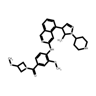 COc1cc(C(=O)N2CC(OC)C2)ccc1Nc1cc2c(C3C=NN(C4CCNCC4)C3C)cccc2cn1